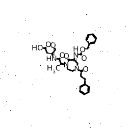 CC(C(=O)N[C@H](C=O)CC(=O)O)N1CCN(C(=O)CCc2ccccc2)C[C@H](NC(=O)OCc2ccccc2)C1=O